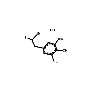 CCN(CC)Cc1cc(C(C)(C)C)c(O)c(C(C)(C)C)c1.Cl